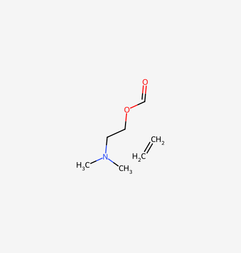 C=C.CN(C)CCOC=O